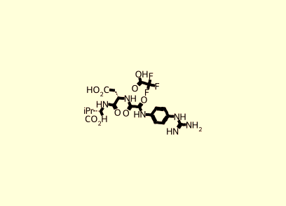 CC(C)[C@H](NC(=O)[C@H](CC(=O)O)NC(=O)C(=O)Nc1ccc(NC(=N)N)cc1)C(=O)O.O=C(O)C(F)(F)F